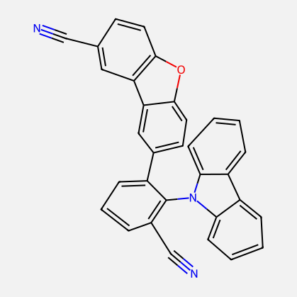 N#Cc1ccc2oc3ccc(-c4cccc(C#N)c4-n4c5ccccc5c5ccccc54)cc3c2c1